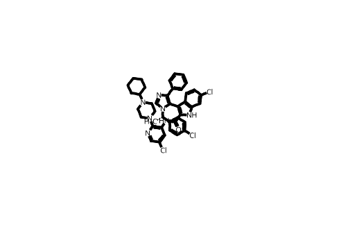 C[C@@H](c1ccc(Cl)cc1)n1cnc(-c2ccccc2)c1-c1c(C(=O)Nc2cc(Cl)cnc2N2CCN(C3CCCCC3)CC2)[nH]c2cc(Cl)ccc12